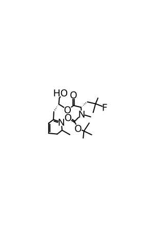 CC1CC=CC(C[C@H](CO)OC(=O)[C@H](CC(C)(C)F)N(C)C(=O)OC(C)(C)C)=N1